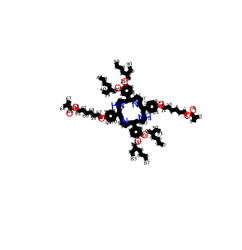 C=C(C)C(=O)OCCCCCCOc1ccc(-c2c3nc(c(-c4ccc(OCC(CC)CCCC)c(OCC(CC)CCCC)c4)c4ccc([nH]4)c(-c4ccc(OCCCCCCOC(=O)C(=C)C)cc4)c4nc(c(-c5ccc(OCC(CC)CCCC)c(OCC(CC)CCCC)c5)c5ccc2[nH]5)C=C4)C=C3)cc1